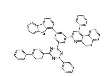 c1ccc(-c2ccc(-c3nc(-c4ccccc4)nc(-c4cc(-c5cc(-c6ccccc6)c6c(ccc7ccccc76)n5)cc(-c5cccc6c5sc5ccccc56)c4)n3)cc2)cc1